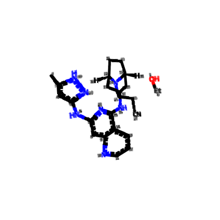 CCO.Cc1cc(Nc2cc3ncccc3c(NC3C[C@H]4CC[C@@H](C3)N4CCC#N)n2)n[nH]1